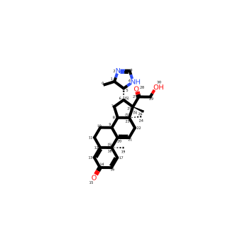 CC1N=CNC1[C@H]1CC2C3CCC4=CC(=O)C=C[C@]4(C)C3=CC[C@]2(C)[C@@]1(C)C(=O)CO